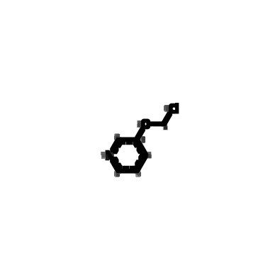 ClCOc1cccnc1